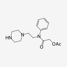 CC(=O)OCC(=O)N(CCN1CCNCC1)c1ccccc1